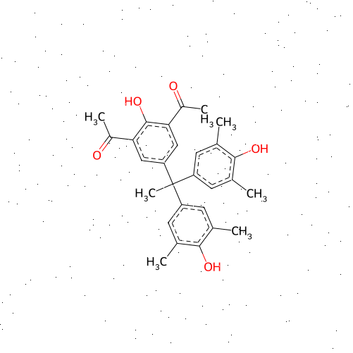 CC(=O)c1cc(C(C)(c2cc(C)c(O)c(C)c2)c2cc(C)c(O)c(C)c2)cc(C(C)=O)c1O